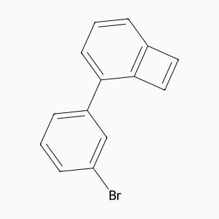 Brc1cccc(-c2cccc3c2C=C3)c1